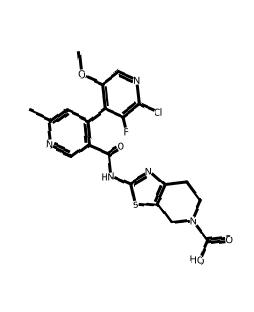 COc1cnc(Cl)c(F)c1-c1cc(C)ncc1C(=O)Nc1nc2c(s1)CN(C(=O)O)CC2